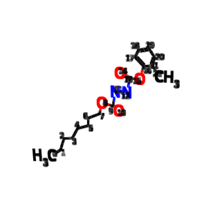 CCCCCCCCOC(=O)/N=N/C(=O)Oc1ccccc1C